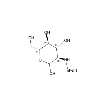 CCCCCN[C@H]1C(O)O[C@H](CO)[C@@H](O)[C@@H]1O